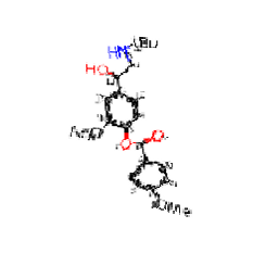 COc1ccc(C(=O)Oc2ccc(C(O)CNC(C)(C)C)cc2OC(C)=O)cc1